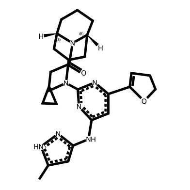 Cc1cc(Nc2cc(C3=CCCO3)nc(N(C)C3C[C@H]4CCC[C@@H](C3)N4C(=O)CC3CC3)n2)n[nH]1